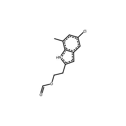 Cc1cc(Cl)cc2cc(CCOC=O)[nH]c12